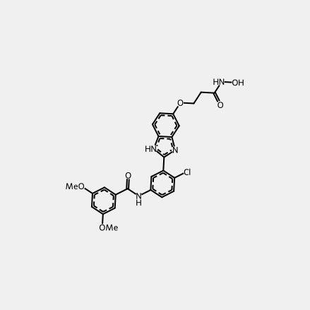 COc1cc(OC)cc(C(=O)Nc2ccc(Cl)c(-c3nc4cc(OCCC(=O)NO)ccc4[nH]3)c2)c1